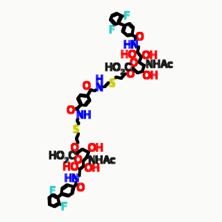 CC(=O)N[C@H]1[C@H]([C@H](O)[C@H](O)CNC(=O)c2ccc(-c3c(F)cccc3F)cc2)O[C@@](OCCCSCCNC(=O)c2ccc(C(=O)CNCCSCCCO[C@]3(C(=O)O)C[C@H](O)[C@@H](NC(C)=O)[C@H]([C@H](O)[C@@H](O)CNC(=O)c4ccc(-c5c(F)cccc5F)cc4)O3)cc2)(C(=O)O)C[C@@H]1O